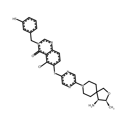 C[C@@H]1OCC2(CCN(c3cnc(Sc4ccc5ncn(Cc6cccc(S)c6)c(=O)c5c4Cl)cn3)CC2)[C@@H]1N